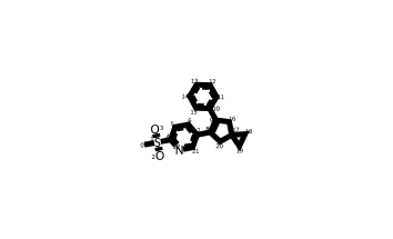 CS(=O)(=O)c1ccc(C2=C(c3ccccc3)CC3(CC3)C2)cn1